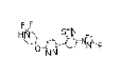 Fc1ccn(-c2ccc(-c3ccc(OC4CC5CC(F)(F)C(C4)N5)nn3)c3scnc23)n1